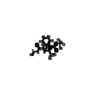 C=CCC(=O)/C(=C/C(NC(=O)OC(C)(C)C)C(C)C)c1ccccc1